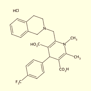 CC1=C(C(=O)O)C(c2ccc(C(F)(F)F)cc2)C(C(=O)O)=C(CN2CCc3ccccc3C2)N1C.Cl